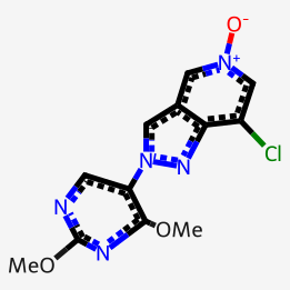 COc1ncc(-n2cc3c[n+]([O-])cc(Cl)c3n2)c(OC)n1